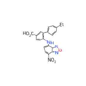 CCc1ccc(-c2cc(C(=O)O)ccc2Nc2ccc([N+](=O)[O-])c3nonc23)cc1